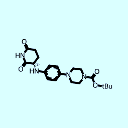 CC(C)(C)OC(=O)N1CCN(c2ccc(N[C@H]3CCC(=O)NC3=O)cc2)CC1